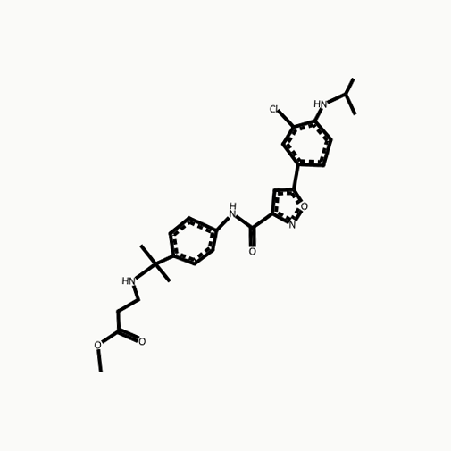 COC(=O)CCNC(C)(C)c1ccc(NC(=O)c2cc(-c3ccc(NC(C)C)c(Cl)c3)on2)cc1